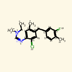 CCN(C)/C=N\c1cc(C)c(Cc2ccc(C)c(F)c2)cc1Cl